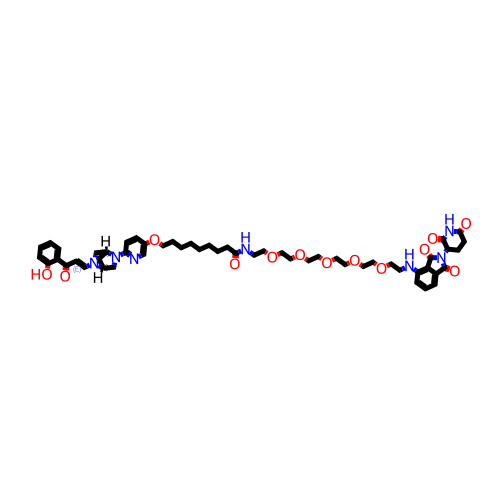 O=C(CCCCCCCCOc1ccc(N2C[C@H]3C[C@@H]2CN3/C=C/C(=O)c2ccccc2O)nc1)NCCOCCOCCOCCOCCOCCNc1cccc2c1C(=O)N(C1CCC(=O)NC1=O)C2=O